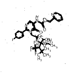 CC(C)C(NC(=O)Cn1c(-c2ccc(F)cc2)ncc(NC(=O)OCc2ccccn2)c1=O)(O[SiH](C)C)C(C(C)(C)C)C(F)(F)F